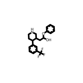 OC(CC1CNCCC1c1cccc(C(F)(F)F)c1)Oc1ccccc1